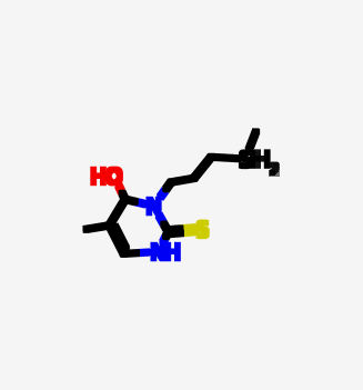 C[SiH2]CCCN1C(=S)NC=C(C)C1O